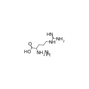 N=C(N)NCCCC(N)C(=O)O.[Ni].[Pt]